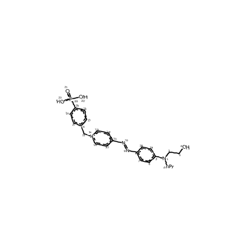 CCCN(CCO)c1ccc(/N=N/c2cc[n+](Cc3ccc(P(=O)(O)O)cc3)cc2)cc1